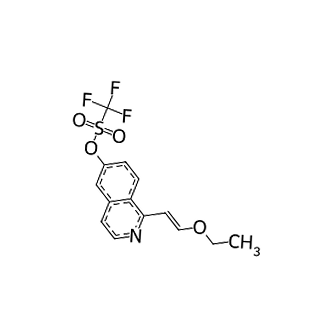 CCOC=Cc1nccc2cc(OS(=O)(=O)C(F)(F)F)ccc12